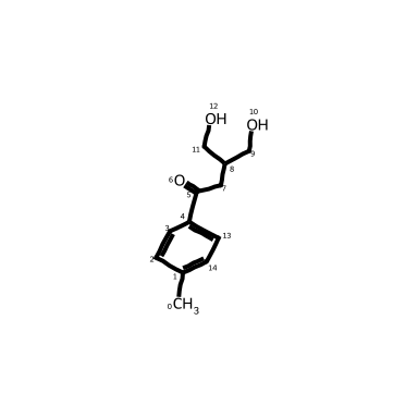 Cc1ccc(C(=O)CC(CO)CO)cc1